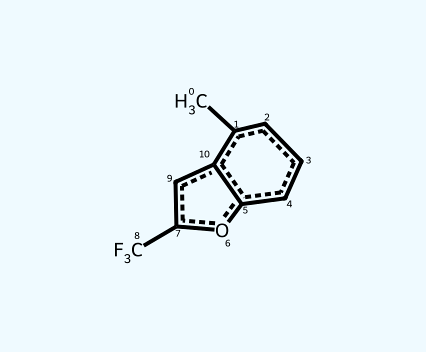 Cc1cccc2oc(C(F)(F)F)cc12